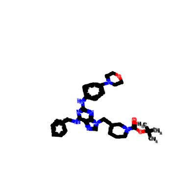 CC(C)(C)OC(=O)N1CCCC(Cn2cnc3c(NCc4ccccc4)nc(Nc4ccc(N5CCOCC5)cc4)nc32)C1